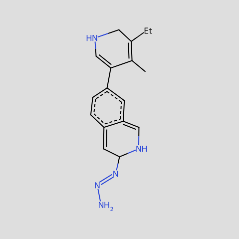 CCC1=C(C)C(c2ccc3c(c2)=CNC(N=NN)C=3)=CNC1